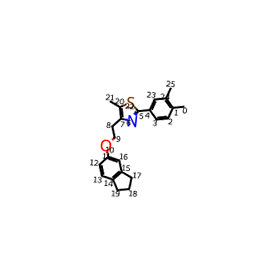 Cc1ccc(-c2nc(CCOc3ccc4c(c3)CCC4)c(C)s2)cc1C